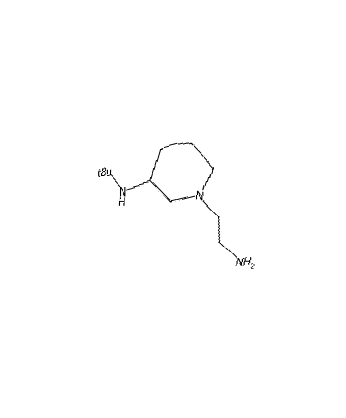 CC(C)(C)NC1CCCN(CCN)C1